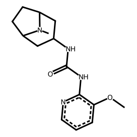 COc1cccnc1NC(=O)NC1CC2CCC(C1)N2C